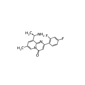 Cc1cc([C@@H](C)N)c2nc(-c3ccc(F)cc3F)cc(=O)n2c1